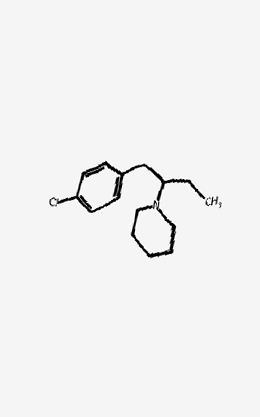 CCC(Cc1ccc(Cl)cc1)N1CCCCC1